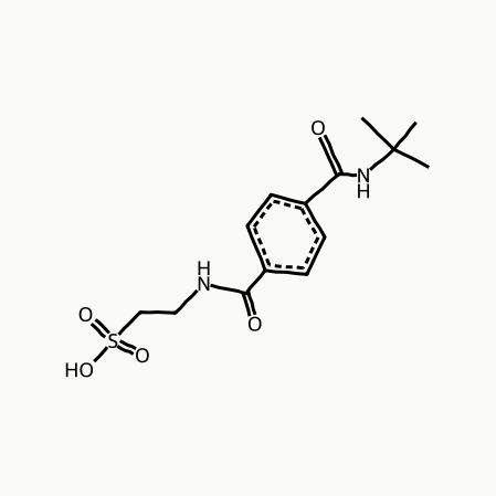 CC(C)(C)NC(=O)c1ccc(C(=O)NCCS(=O)(=O)O)cc1